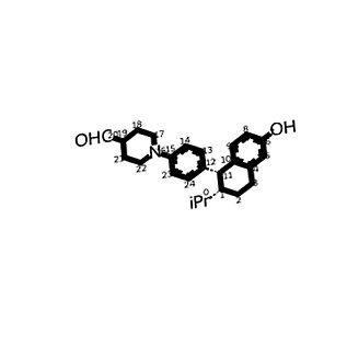 CC(C)[C@H]1CCc2cc(O)ccc2[C@H]1c1ccc(N2CCC(C=O)CC2)cc1